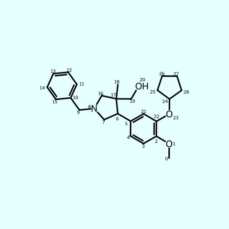 COc1ccc(C2CN(Cc3ccccc3)CC2(C)CO)cc1OC1CCCC1